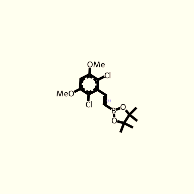 COc1cc(OC)c(Cl)c(/C=C/B2OC(C)(C)C(C)(C)O2)c1Cl